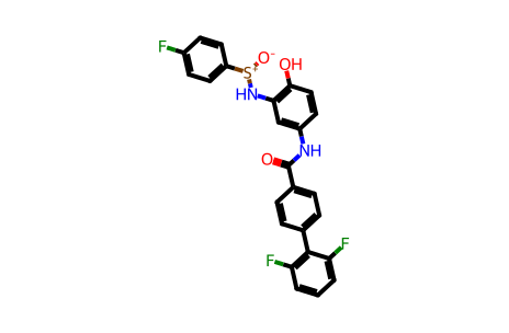 O=C(Nc1ccc(O)c(N[S+]([O-])c2ccc(F)cc2)c1)c1ccc(-c2c(F)cccc2F)cc1